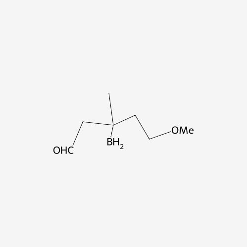 BC(C)(CC=O)CCOC